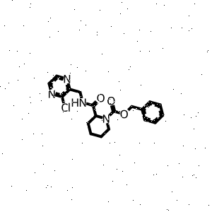 O=C(NCc1nccnc1Cl)C1CCCCN1C(=O)OCc1ccccc1